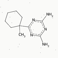 CC1(c2nc(N)nc(N)n2)CCCCC1